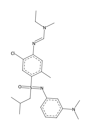 CCN(C)C=Nc1cc(C)c(S(=O)(CC(C)C)=Nc2cccc(N(C)C)c2)cc1Cl